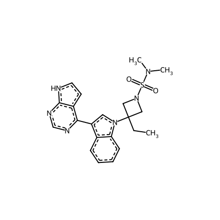 CCC1(n2cc(-c3ncnc4[nH]ccc34)c3ccccc32)CN(S(=O)(=O)N(C)C)C1